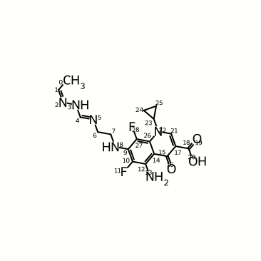 C/C=N\N/C=N/CCNc1c(F)c(N)c2c(=O)c(C(=O)O)cn(C3CC3)c2c1F